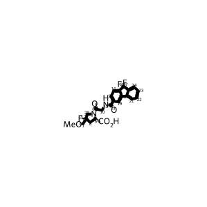 COC[C@@]1(F)C[C@@H](C(=O)O)N(C(=O)CNC(=O)c2ccc3c(c2)-c2ccccc2C3(F)F)C1